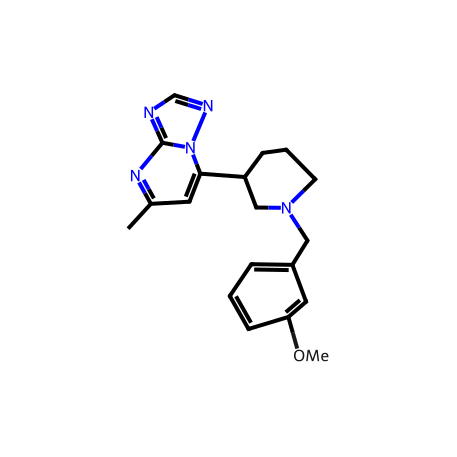 COc1cccc(CN2CCCC(c3cc(C)nc4ncnn34)C2)c1